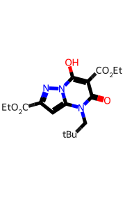 CCOC(=O)c1cc2n(CC(C)(C)C)c(=O)c(C(=O)OCC)c(O)n2n1